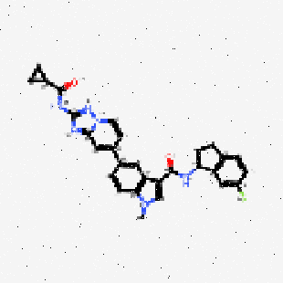 Cn1cc(C(=O)N[C@H]2CCc3ccc(F)cc32)c2cc(-c3ccn4nc(NC(=O)C5CC5)nc4c3)ccc21